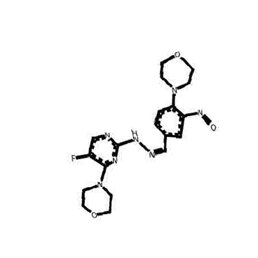 O=Nc1cc(/C=N\Nc2ncc(F)c(N3CCOCC3)n2)ccc1N1CCOCC1